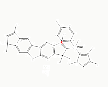 Cl.Cl.[CH2]=[Zr]([CH3])([C]1=C(C)C(C)=CC1C)([C]1=C(C)c2cc3c(cc2C1(C)C)Cc1cc2c(cc1-3)C(C)=CC2(C)C)[c]1ccc(C)cc1